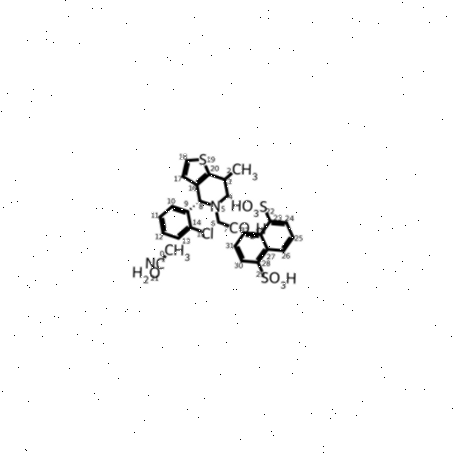 CC#N.CC1CN(CC(=O)O)[C@H](c2ccccc2Cl)c2ccsc21.O.O=S(=O)(O)c1cccc2c(S(=O)(=O)O)cccc12